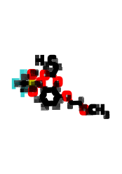 C=CC(=O)Oc1c(OCCOC)cccc1OS(=O)(=O)C(F)(F)F